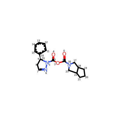 O=C(OC(=O)N1N=CC[C@H]1c1ccccc1)N1CC2CCCC2C1